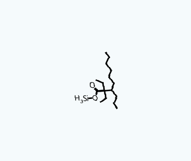 CCCCCCC(CCC)C(CC)(CC)C(=O)O[SiH3]